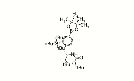 CCC[CH2][Sn]([CH2]CCC)([CH2]CCC)[c]1cc(B2OC(C)(C)C(C)(C)O2)ccc1CC(CC(C)(C)C)NC(=O)OC(C)(C)C